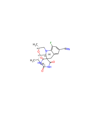 CC(C)[C@@H]1O[C@H](C)CN2c3c(F)cc(C#N)cc3CC3(C(=O)NC(=O)NC3=O)[C@@H]12